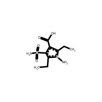 CCc1c(C(=O)O)c(S(N)(=O)=O)c(CC)n1N